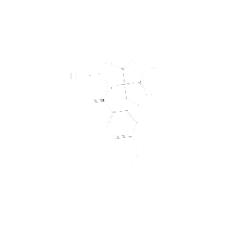 CCN(C(=O)c1ccc(OC)cc1)C(CC)(C(=O)O)C(=O)O